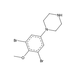 COc1c(Br)cc(N2CCNCC2)cc1Br